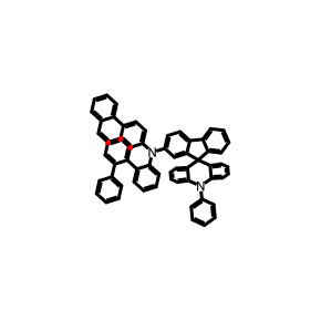 c1ccc(-c2ccccc2-c2ccccc2N(c2ccc3c(c2)C2(c4ccccc4-3)c3ccccc3N(c3ccccc3)c3ccccc32)c2ccc3c(ccc4ccccc43)c2)cc1